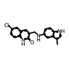 Cc1c[nH]c2ccc(NCc3cc4cc(Cl)ccc4[nH]c3=O)cc12